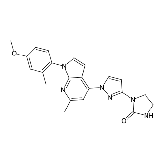 COc1ccc(-n2ccc3c(-n4ccc(N5CCNC5=O)n4)cc(C)nc32)c(C)c1